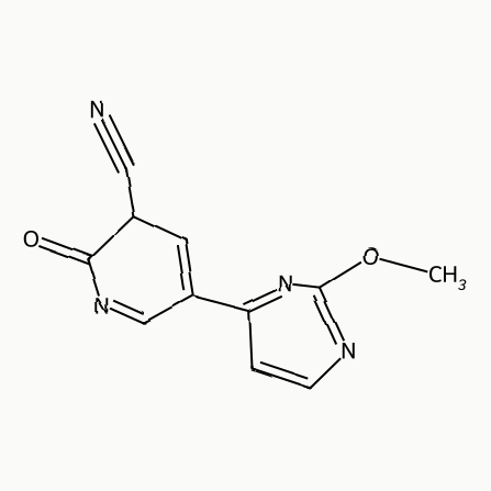 COc1nccc(C2=CC(C#N)C(=O)N=C2)n1